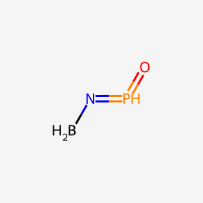 BN=[PH]=O